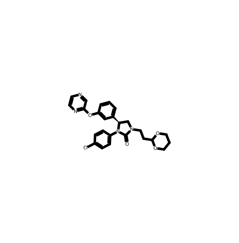 O=C1N(CCC2OCCCO2)C[C@H](c2cccc(Oc3cnccn3)c2)N1c1ccc(Cl)cc1